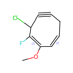 COC1=C(\F)C(Cl)C#CC/C=C\1